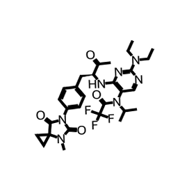 CCN(CC)c1ncc(N(C(=O)C(F)(F)F)C(C)C)c(N[C@@H](Cc2ccc(N3C(=O)N(C)C4(CC4)C3=O)cc2)C(C)=O)n1